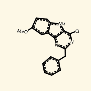 COc1ccc2[nH]c3c(Cl)nc(Cc4ccccc4)nc3c2c1